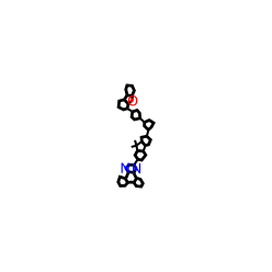 CC1(C)c2cc(-c3cccc(-c4ccc(-c5cccc6c5oc5ccccc56)cc4)c3)ccc2-c2ccc(-c3cnc4c5ccccc5c5ccccc5c4n3)cc21